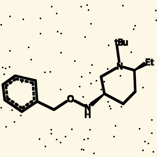 CC[C@H]1CC[C@@H](NOCc2ccccc2)CN1C(C)(C)C